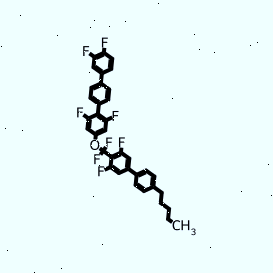 CCCCCc1ccc(-c2cc(F)c(C(F)(F)Oc3cc(F)c(-c4ccc(-c5ccc(F)c(F)c5)cc4)c(F)c3)c(F)c2)cc1